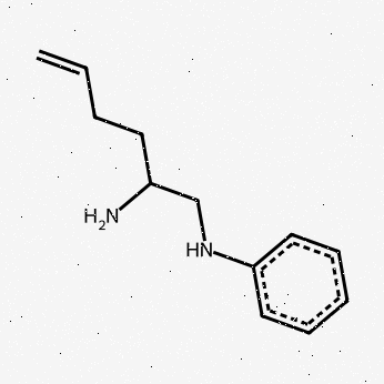 C=CCCC(N)CNc1ccccc1